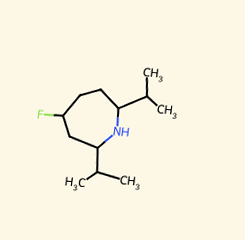 CC(C)C1CCC(F)CC(C(C)C)N1